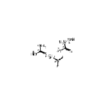 C.CCN(C)C.NC(O)=S.NC(O)=S.[NaH]